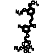 COc1ccc(CCC(=O)c2cc(F)cc(OCC(=O)OC(C)(C)C)c2)cc1OC